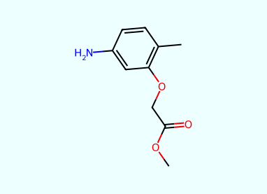 COC(=O)COc1cc(N)ccc1C